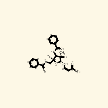 C[C@@]1(F)C(OC(=O)c2ccccc2)[C@@](F)(COC(=O)c2ccccc2)O[C@H]1N/C=C\C(N)=O